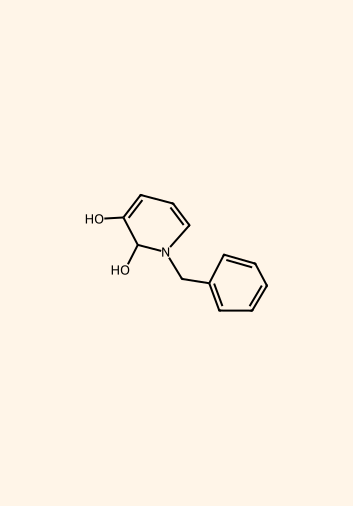 OC1=CC=CN(Cc2ccccc2)C1O